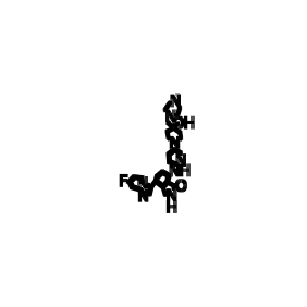 CN1CCN(CC2(O)CCN(c3ccc(Nc4ccc(-c5cnc6cc(F)ccn56)c5c4C(=O)NC5)nc3)CC2)CC1